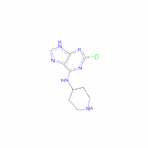 Clc1nc(NC2CCNCC2)c2nc[nH]c2n1